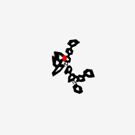 c1ccc(-c2ccc(-c3ccc(N(c4ccc(-c5ccc6c(c5)c5cc(-c7ccccc7)ccc5n6-c5ccccc5)cc4)c4cccc5ccc6ccccc6c45)cc3)cc2)cc1